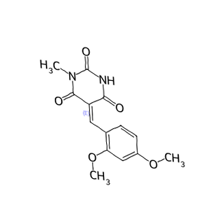 COc1ccc(/C=C2\C(=O)NC(=O)N(C)C2=O)c(OC)c1